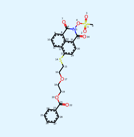 CS(=O)(=O)ON1C(=O)c2cccc3c(SCCOCCOC(=O)c4ccccc4)ccc(c23)C1=O